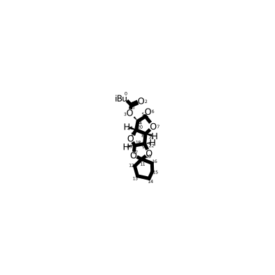 CCC(C)C(=O)O[C@@H]1C(=O)O[C@@H]2[C@H]3OC4(CCCCC4)O[C@H]3O[C@@H]21